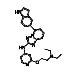 CCN(CC)CCOc1cc(Nc2nc3cccc(-c4ccc5[nH]ccc5c4)n3n2)ccn1